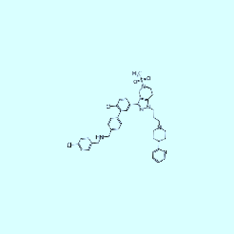 CS(=O)(=O)N1CCc2c(c(-c3ccc(Cl)c(-c4ccc(CNCc5ccc(Cl)cc5)cc4)c3)nn2CCCN2CCC(c3ccccn3)CC2)C1